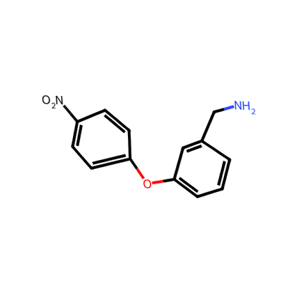 NCc1cccc(Oc2ccc([N+](=O)[O-])cc2)c1